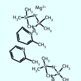 C[Si](C)(C)[N-][Si](C)(C)C.C[Si](C)(C)[N-][Si](C)(C)C.Cc1ccccn1.Cc1ccccn1.[Mg+2]